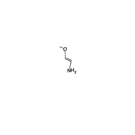 COC=CN